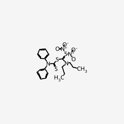 CCCN(CCC)C(SC(=S)N(c1ccccc1)c1ccccc1)=S([N+](=O)[O-])[N+](=O)[O-]